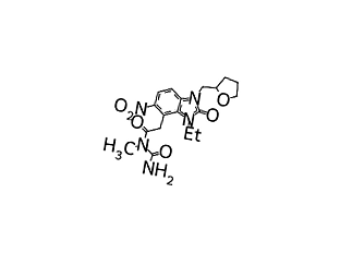 CCn1c(=O)n(CC2CCCO2)c2ccc([N+](=O)[O-])c(CC(=O)N(C)C(N)=O)c21